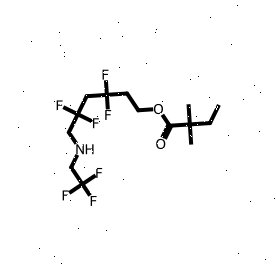 CCC(C)(C)C(=O)OCCC(F)(F)CC(F)(F)CNCC(F)(F)F